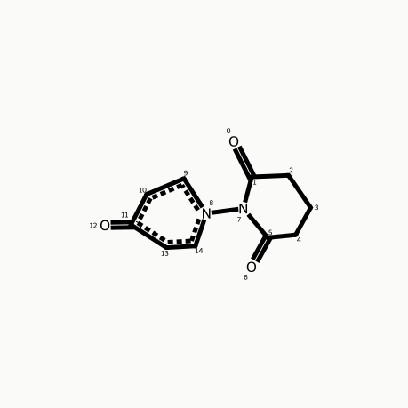 O=C1CCCC(=O)N1n1ccc(=O)cc1